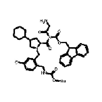 CC(C)(C)OC(=O)NCc1ccc(Cl)cc1CN1CC(C2CCCCC2)C[C@H]1C(=O)N(C(=O)CN)C(=O)OCC1c2ccccc2-c2ccccc21